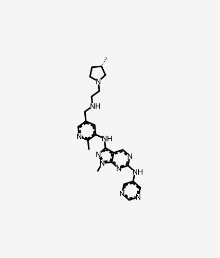 Cc1ncc(CNCCN2CC[C@H](C)C2)cc1Nc1nn(C)c2nc(Nc3cncnc3)ncc12